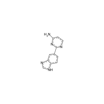 Nc1ccnc(-c2ccc3[nH]cnc3c2)n1